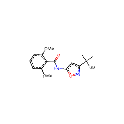 COc1cccc(OC)c1C(=O)Nc1cc(C(C)(C)C(C)(C)C)no1